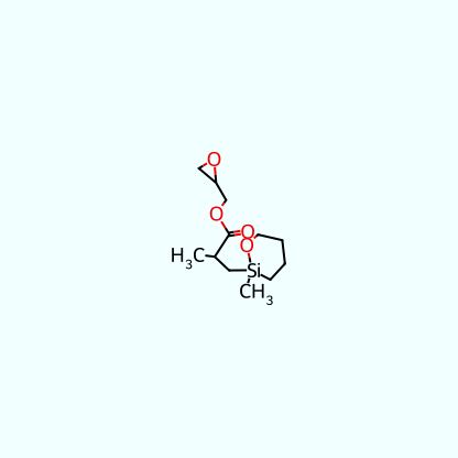 CC(C[Si]1(C)CCCCO1)C(=O)OCC1CO1